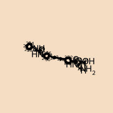 NC[C@H](NC(=O)c1ccc(C#CC#Cc2ccc(NC(=O)CNc3ccccc3)cc2)cc1)C(O)NO